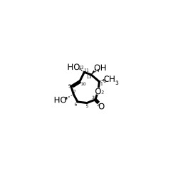 C[C@@H]1OC(=O)CC[C@H](O)/C=C/[C@H](O)[C@H]1O